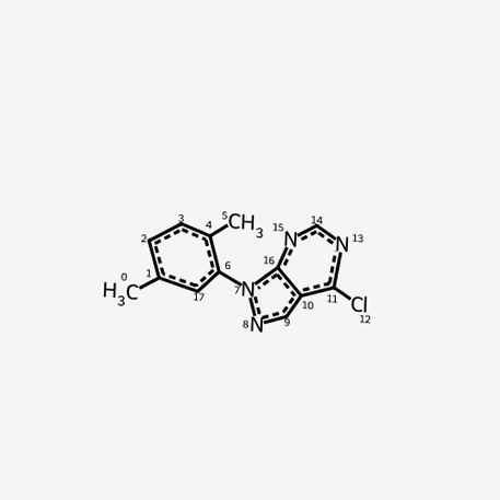 Cc1ccc(C)c(-n2ncc3c(Cl)ncnc32)c1